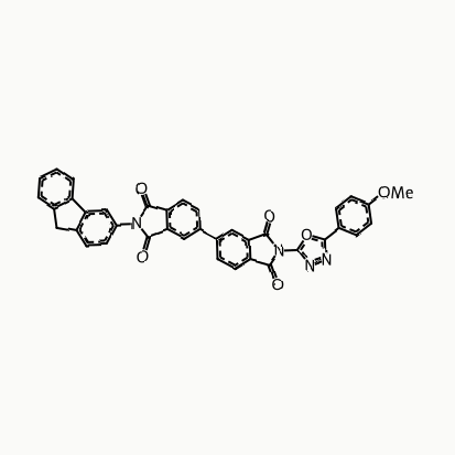 COc1ccc(-c2nnc(N3C(=O)c4ccc(-c5ccc6c(c5)C(=O)N(c5ccc7c(c5)-c5ccccc5C7)C6=O)cc4C3=O)o2)cc1